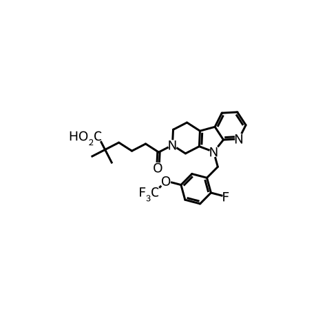 CC(C)(CCCC(=O)N1CCc2c(n(Cc3cc(OC(F)(F)F)ccc3F)c3ncccc23)C1)C(=O)O